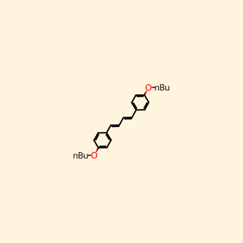 CCCCOc1ccc(C=CC=Cc2ccc(OCCCC)cc2)cc1